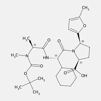 Cc1ccc([C@H]2CC[C@@H](C(=O)O)N2C(=O)[C@@H](NC(=O)[C@H](C)N(C)C(=O)OC(C)(C)C)C2CCCCC2)o1